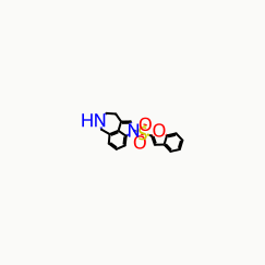 O=S(=O)(c1cc2ccccc2o1)n1cc2c3c(cccc31)CNCC2